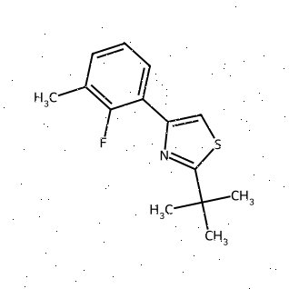 Cc1cccc(-c2csc(C(C)(C)C)n2)c1F